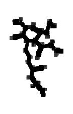 CC(C)(C)OC(=O)[C@H](CCCC(=O)C=[N+]=[N-])N(C(=O)OC(C)(C)C)C(=O)OC(C)(C)C